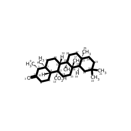 C[C@H]1C(=O)CC[C@@H]2[C@]1(C)CC[C@H]1[C@@]2(C(=O)O)CC[C@@]2(C)[C@@H]3CC(C)(C)CC[C@]3(C)CC[C@]12C